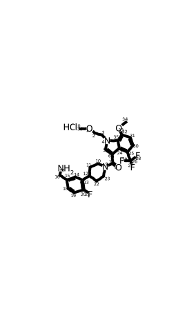 COCCn1cc(C(=O)N2CCC(c3cc(CN)ccc3F)CC2)c2c(C(F)(F)F)ccc(OC)c21.Cl